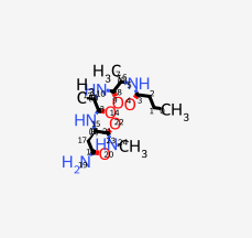 CCCC(=O)N[C@@H](C)C(=O)N[C@H](C)C(=O)N[C@H](CC(N)=O)C(=O)NC